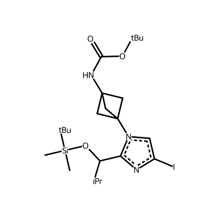 CC(C)C(O[Si](C)(C)C(C)(C)C)c1nc(I)cn1C12CC(NC(=O)OC(C)(C)C)(C1)C2